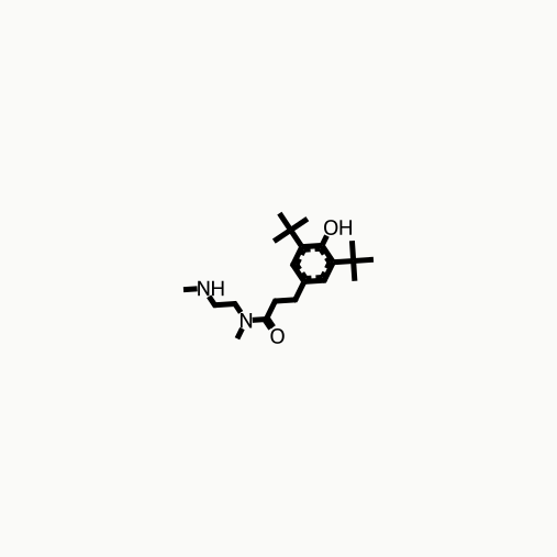 CNCCN(C)C(=O)CCc1cc(C(C)(C)C)c(O)c(C(C)(C)C)c1